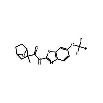 CC1(C(=O)Nc2nc3ccc(OC(F)(F)F)cc3s2)CC2CCC1O2